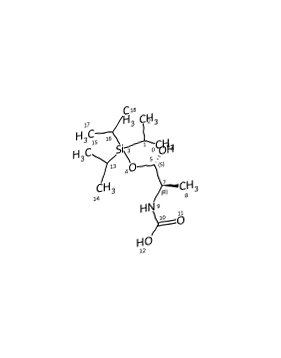 CC(C)[Si](O[C@H](O)[C@@H](C)NC(=O)O)(C(C)C)C(C)C